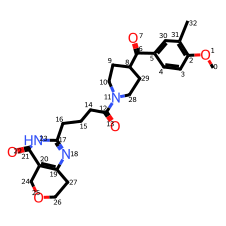 COc1ccc(C(=O)C2CCN(C(=O)CCCc3nc4c(c(=O)[nH]3)COCC4)CC2)cc1C